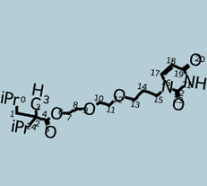 CC(C)CC(C)(C(=O)OCCOCCOCCCn1ccc(=O)[nH]c1=O)C(C)C